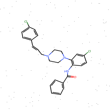 O=C(Nc1ccc(Cl)cc1N1CCN(C/C=C/c2ccc(Cl)cc2)CC1)c1ccccc1